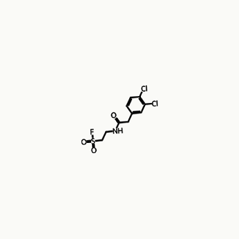 O=C(Cc1ccc(Cl)c(Cl)c1)NCCS(=O)(=O)F